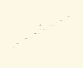 CCCCCCCN(C=O)CCCCCCC